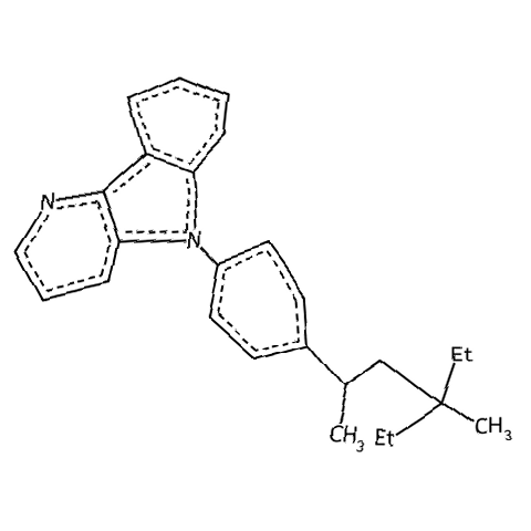 CCC(C)(CC)CC(C)c1ccc(-n2c3ccccc3c3ncccc32)cc1